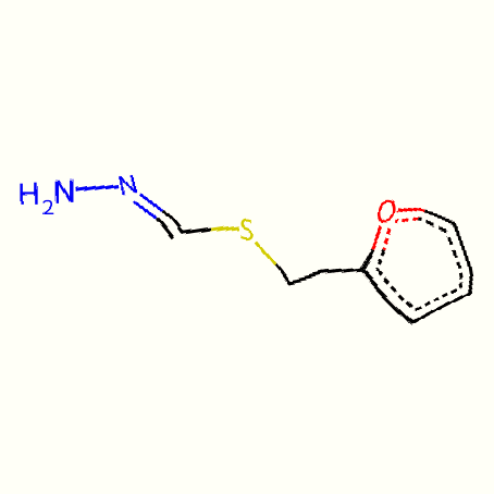 N/N=C/SCc1ccco1